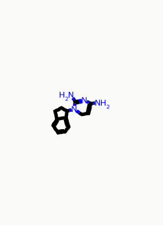 NC1=CCN(C2CCc3ccccc32)C(N)=N1